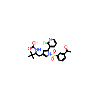 CC(=O)c1cccc(S(=O)(=O)n2cc(CC(NC(=O)O)C(C)(C)C)cc2-c2cccnc2F)c1